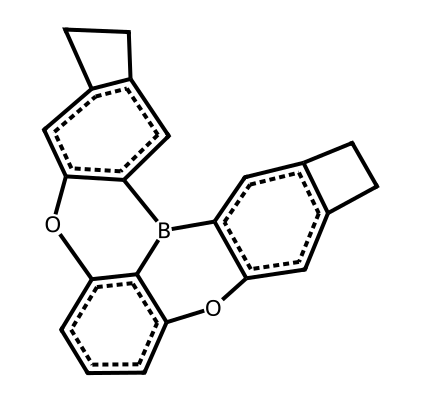 c1cc2c3c(c1)Oc1cc4c(cc1B3c1cc3c(cc1O2)CC3)CC4